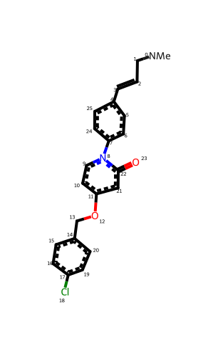 CNCC=Cc1ccc(-n2ccc(OCc3ccc(Cl)cc3)cc2=O)cc1